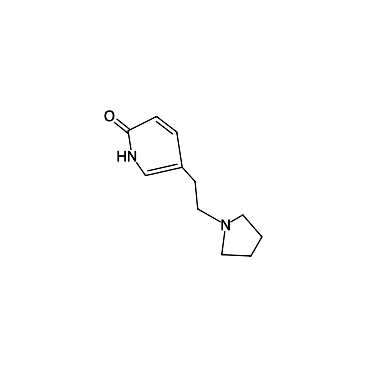 O=c1ccc(CCN2CCCC2)c[nH]1